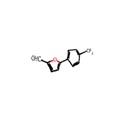 O=[C]c1ccc(-c2ccc(C(F)(F)F)cc2)o1